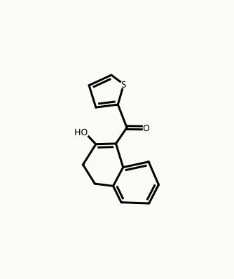 O=C(C1=C(O)CCc2ccccc21)c1cccs1